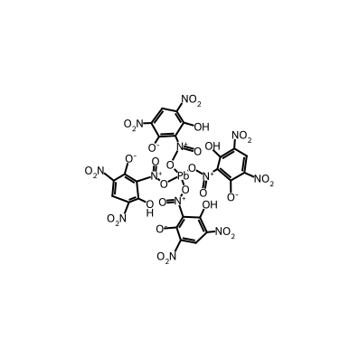 O=[N+]([O-])c1cc([N+](=O)[O-])c(O)c([N+](=O)[O][Pb]([O][N+](=O)c2c([O-])c([N+](=O)[O-])cc([N+](=O)[O-])c2O)([O][N+](=O)c2c([O-])c([N+](=O)[O-])cc([N+](=O)[O-])c2O)[O][N+](=O)c2c([O-])c([N+](=O)[O-])cc([N+](=O)[O-])c2O)c1[O-]